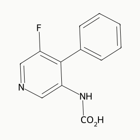 O=C(O)Nc1cncc(F)c1-c1ccccc1